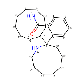 NC(=O)c1ccccc1C1(C2CCCCCCCC2)CCCCCCCN1